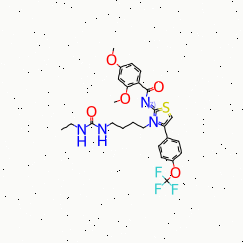 CCNC(=O)NCCCCn1c(-c2ccc(OC(F)(F)F)cc2)cs/c1=N\C(=O)c1ccc(OC)cc1OC